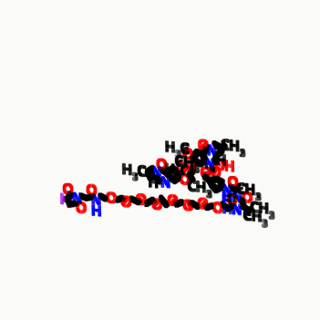 CCC(C)(COc1cc2c(cc1OC)C(=O)N1C=C(C)C[C@H]1[C@H](O)N2C(=O)OCc1ccc(NC(=O)[C@H](C)NC(=O)[C@@H](NC(=O)CCOCCOCCOCCOCCOCCOCCOCCOCCNC(=O)CCN2C(=O)CC(I)C2=O)C(C)C)cc1)Oc1cc2c(cc1OC)C(=O)N1C=C(C)C[C@H]1C=N2